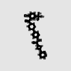 O=C(Nc1ccc(C2CCN(C(=O)c3cc(C(F)(F)F)ccc3Cl)CC2)cc1)C1CN(c2cccnn2)C1